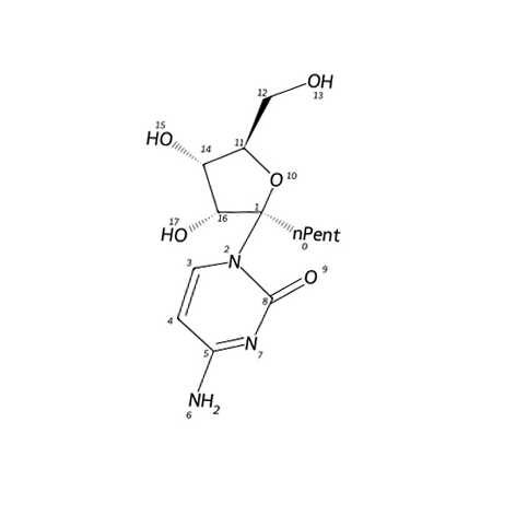 CCCCC[C@@]1(n2ccc(N)nc2=O)O[C@H](CO)[C@@H](O)[C@H]1O